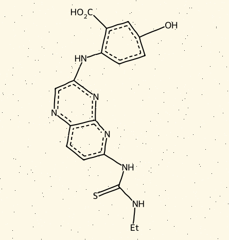 CCNC(=S)Nc1ccc2ncc(Nc3ccc(O)cc3C(=O)O)nc2n1